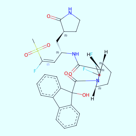 CS(=O)(=O)/C(F)=C\[C@H](C[C@@H]1CCNC1=O)NC(=O)[C@@H]1[C@@H]2CC[C@@H](CC2(F)F)N1C(=O)C1(O)c2ccccc2-c2ccccc21